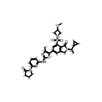 COC1CN(S(=O)(=O)c2cc(-c3sc(Nc4cccc(N5CCCC5=O)n4)nc3C)cc3c2C(=O)N(C(C)C2CC2)C3)C1